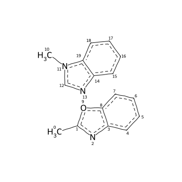 Cc1nc2ccccc2o1.Cn1cnc2ccccc21